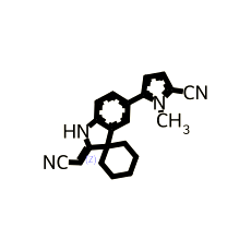 Cn1c(C#N)ccc1-c1ccc2c(c1)C1(CCCCC1)/C(=C/C#N)N2